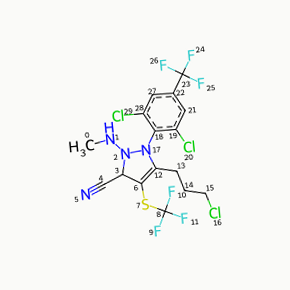 CNN1C(C#N)C(SC(F)(F)F)=C(CCCCl)N1c1c(Cl)cc(C(F)(F)F)cc1Cl